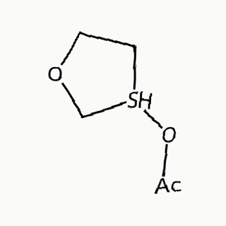 CC(=O)O[SH]1CCOC1